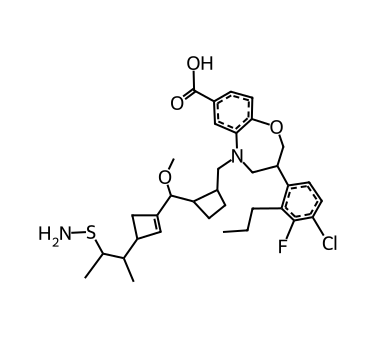 CCCc1c(C2COc3ccc(C(=O)O)cc3N(CC3CCC3C(OC)C3=CC(C(C)C(C)SN)C3)C2)ccc(Cl)c1F